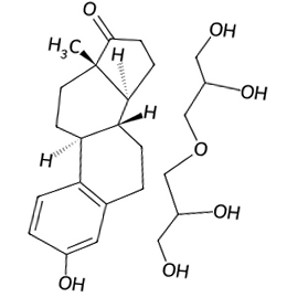 C[C@]12CC[C@@H]3c4ccc(O)cc4CC[C@H]3[C@@H]1CCC2=O.OCC(O)COCC(O)CO